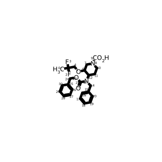 CC(F)(F)COC1CN(C(=O)O)CCC1N(Cc1ccccc1)C(=O)OCc1ccccc1